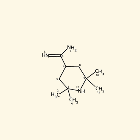 CC1(C)CC(C(=N)N)CC(C)(C)N1